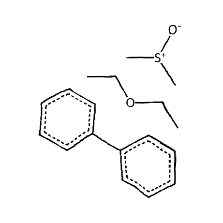 CCOCC.C[S+](C)[O-].c1ccc(-c2ccccc2)cc1